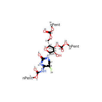 CCCCCOC(=O)Nc1nc(=O)n([C@@H]2O[C@H](COC(=O)OCCCCC)[C@@H](OC(=O)OCCCCC)[C@H]2O)cc1F